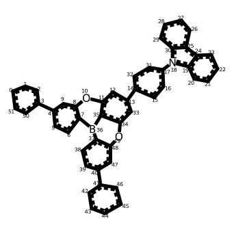 c1ccc(-c2ccc3c(c2)Oc2cc(-c4ccc(-n5c6ccccc6c6ccccc65)cc4)cc4c2B3c2ccc(-c3ccccc3)cc2O4)cc1